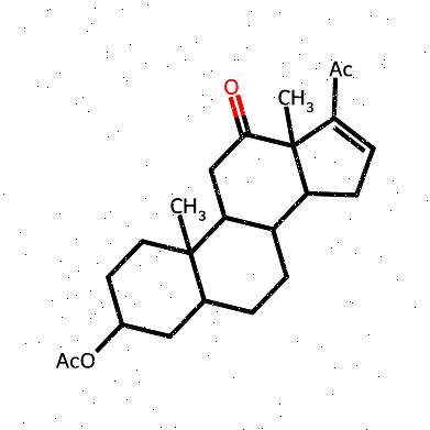 CC(=O)OC1CCC2(C)C(CCC3C4CC=C(C(C)=O)C4(C)C(=O)CC32)C1